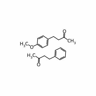 CC(=O)CCc1ccccc1.COc1ccc(CCC(C)=O)cc1